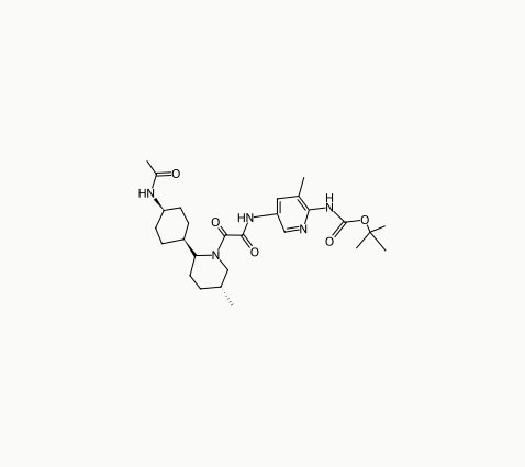 CC(=O)N[C@H]1CC[C@@H](C2CC[C@@H](C)CN2C(=O)C(=O)Nc2cnc(NC(=O)OC(C)(C)C)c(C)c2)CC1